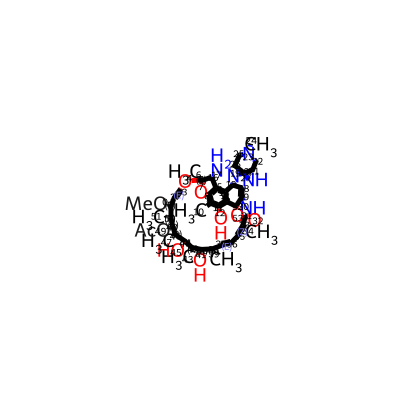 CO[C@H]1/C=C/O[C@@]2(C)Oc3c(C)c(O)c4c(c3C2N)C2=NC3(CCN(C)CC3)NC2=C(NC(=O)/C(C)=C\C=C\[C@H](C)[C@H](O)[C@@H](C)[C@@H](O)[C@@H](C)[C@H](OC(C)=O)[C@@H]1C)C4=O